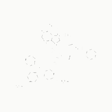 COc1ccc(C(OC[C@@H]2O[C@H](n3cnc4c(N)ncnc43)[C@H](OC(=O)C(Cc3ccccc3)NC(=O)OC(C)(C)C)[C@H]2O)(c2ccccc2)c2ccc(OC)cc2)cc1